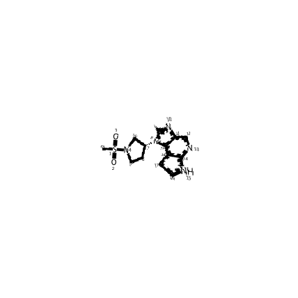 CS(=O)(=O)N1CC[C@@H](n2cnc3cnc4[nH]ccc4c32)C1